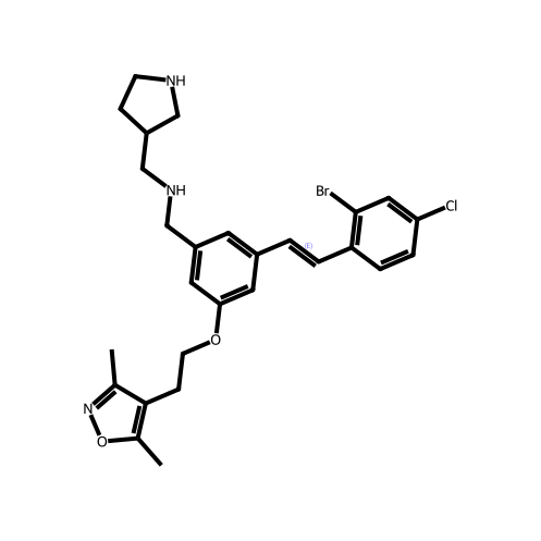 Cc1noc(C)c1CCOc1cc(/C=C/c2ccc(Cl)cc2Br)cc(CNCC2CCNC2)c1